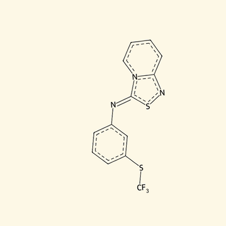 FC(F)(F)Sc1cccc(N=c2snc3ccccn23)c1